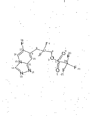 O=S(=O)(OCC(F)(F)Cc1cc2nncn2cc1F)C(F)(F)F